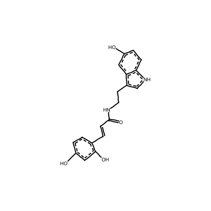 O=C(C=Cc1ccc(O)cc1O)NCCc1c[nH]c2ccc(O)cc12